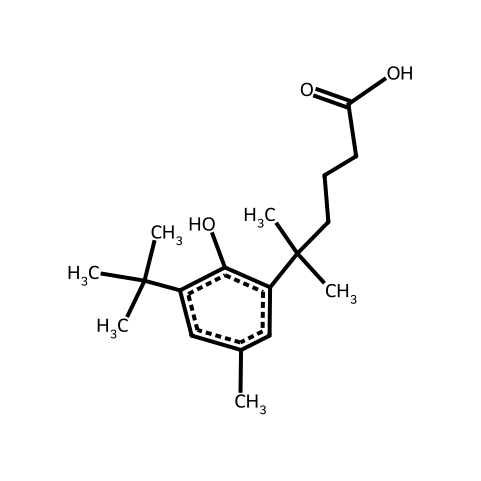 Cc1cc(C(C)(C)C)c(O)c(C(C)(C)CCCC(=O)O)c1